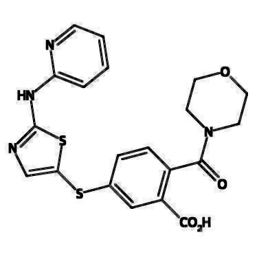 O=C(O)c1cc(Sc2cnc(Nc3ccccn3)s2)ccc1C(=O)N1CCOCC1